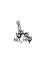 Cc1cnc(-c2nc(-c3nn(COCC[Si](C)(C)C)c4ncc([N+](=O)[O-])cc34)cs2)[nH]1